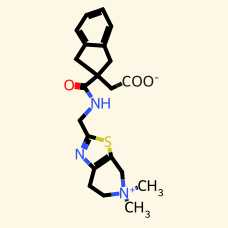 C[N+]1(C)CCc2nc(CNC(=O)C3(CC(=O)[O-])Cc4ccccc4C3)sc2C1